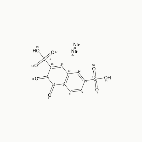 O=C1C(=O)c2ccc(S(=O)(=O)O)cc2C=C1S(=O)(=O)O.[Na].[Na]